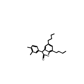 CCCCc1cc(CCCC)c2c(c1)C(c1ccc(C)c(C)c1)C(=O)O2